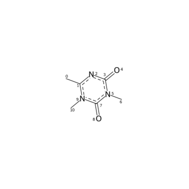 Cc1nc(=O)n(C)c(=O)n1C